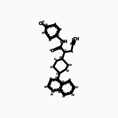 C#CCC(C(=O)Nc1ccc(Cl)cc1)C1CCC(c2ccnc3ccccc23)CC1